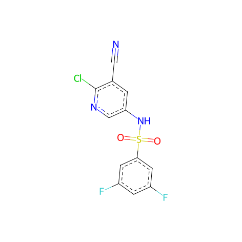 N#Cc1cc(NS(=O)(=O)c2cc(F)cc(F)c2)cnc1Cl